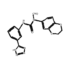 O=CN(C(=O)Nc1cccc(-c2nnn[nH]2)c1)c1ccc2c(c1)OCCO2